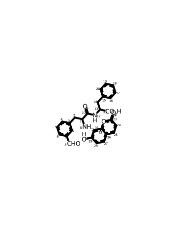 NC(Cc1cccc(C=O)c1)C(=O)NC(Cc1ccccc1)C(=O)O.O=c1ccc2ccc(O)cc2o1